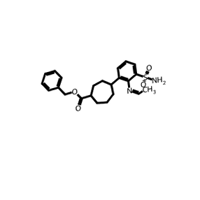 C/C=N\c1c(C2CCCC(C(=O)OCc3ccccc3)CC2)cccc1S(N)(=O)=O